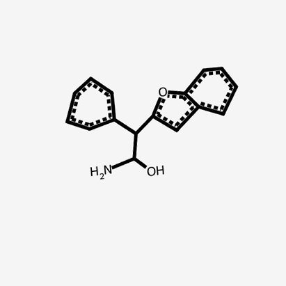 NC(O)C(c1ccccc1)c1cc2ccccc2o1